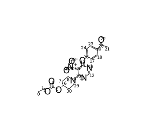 CCOC(=O)OC1CCN(c2ncnc(Oc3ccc(C(C)=O)cc3)c2[N+](=O)[O-])CC1